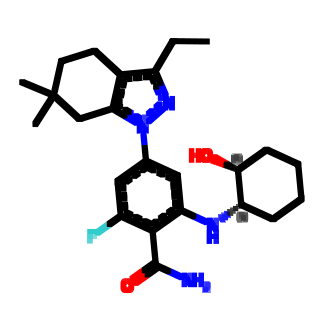 CCc1nn(-c2cc(F)c(C(N)=O)c(N[C@H]3CCCC[C@@H]3O)c2)c2c1CCC(C)(C)C2